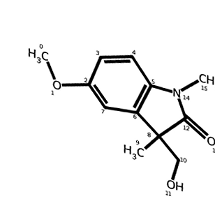 COc1ccc2c(c1)C(C)(CO)C(=O)N2C